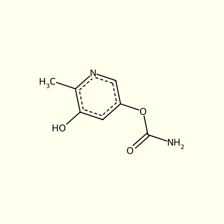 Cc1ncc(OC(N)=O)cc1O